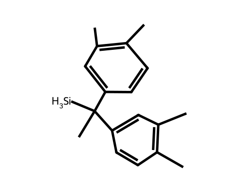 Cc1ccc(C(C)([SiH3])c2ccc(C)c(C)c2)cc1C